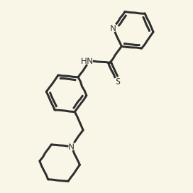 S=C(Nc1cccc(CN2CCCCC2)c1)c1ccccn1